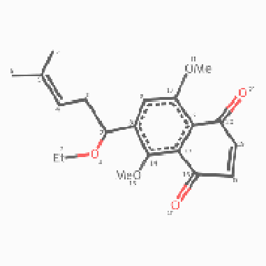 CCOC(CC=C(C)C)c1cc(OC)c2c(c1OC)C(=O)C=CC2=O